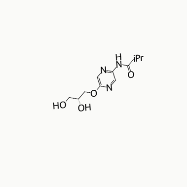 CC(C)C(=O)Nc1cnc(OC[C@H](O)CO)cn1